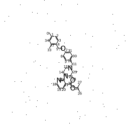 Cc1ccc(COc2ccc(CN3CCN(c4ncccc4C(=O)OC(C)C)CC3)cc2)c(C)c1